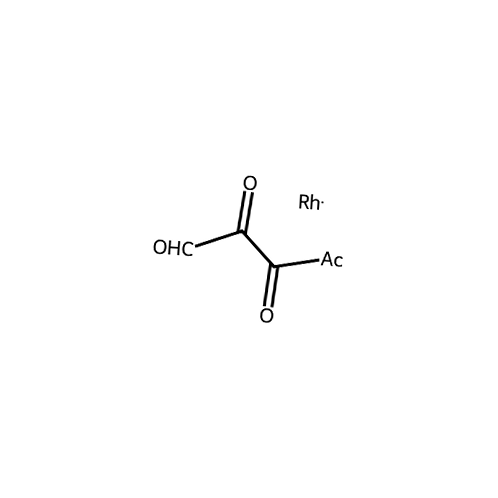 CC(=O)C(=O)C(=O)C=O.[Rh]